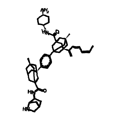 C=C(/C=C\C=C/C)[C@@]12CC3(C(=O)N[C@H]4CC[C@@H](N)CC4)CC(c4ccc([C@]56CC7CC(C(=O)NC8CC9CNC8C9)(C[C@](C)(C7)C5)C6)cc4)(C[C@@](C)(C3)C1)C2